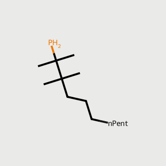 CCCCCCCCC(C)(C)C(C)(C)P